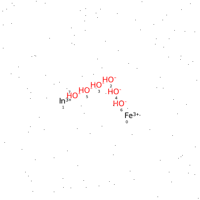 [Fe+3].[In+3].[OH-].[OH-].[OH-].[OH-].[OH-].[OH-]